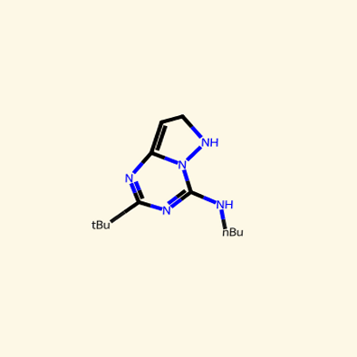 CCCCNC1=NC(C(C)(C)C)=NC2=CCNN21